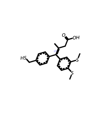 CSc1ccc(/C(=C(/C)CC(=O)O)c2ccc(CS)cc2)cc1SC